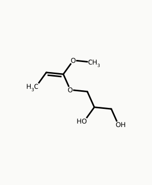 CC=C(OC)OCC(O)CO